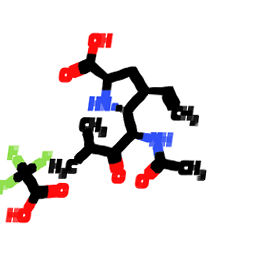 C=C[C@@H]1C[C@H](C(=O)O)N[C@H]1[C@@H](NC(C)=O)C(=O)C(C)C.O=C(O)C(F)(F)F